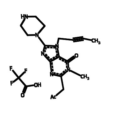 CC#CCn1c(N2CCNCC2)nc2nc(CC(C)=O)n(C)c(=O)c21.O=C(O)C(F)(F)F